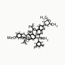 COc1ccc(CN(c2nn(CC(F)F)c3c(-n4c(C(N)Cc5cc(F)cc(F)c5)nc5nc(N6C[C@@H](C)O[C@@H](C)C6)ccc5c4=O)ccc(Cl)c23)S(=O)(=O)C2CC2)cc1